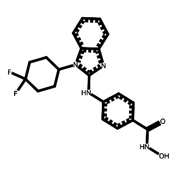 O=C(NO)c1ccc(Nc2nc3ccccc3n2C2CCC(F)(F)CC2)cc1